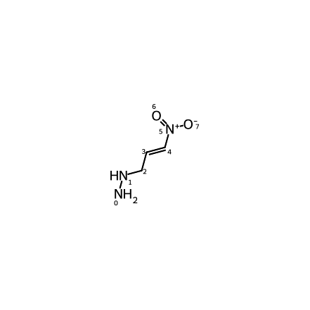 NNCC=C[N+](=O)[O-]